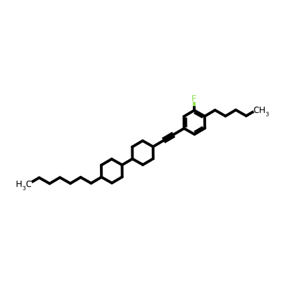 CCCCCCCC1CCC(C2CCC(C#Cc3ccc(CCCCC)c(F)c3)CC2)CC1